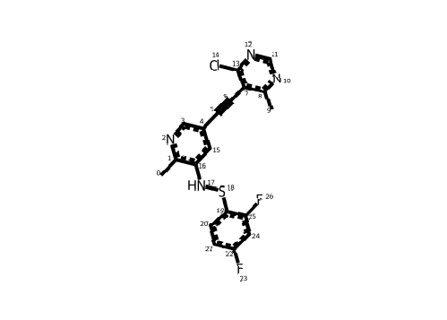 Cc1ncc(C#Cc2c(C)ncnc2Cl)cc1NSc1ccc(F)cc1F